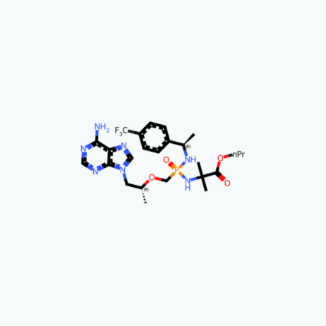 CCCOC(=O)C(C)(C)NP(=O)(CO[C@H](C)Cn1cnc2c(N)ncnc21)N[C@H](C)c1ccc(C(F)(F)F)cc1